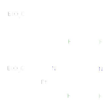 CCOC(=O)C1CCC(N(CC)c2c(F)c(F)nc(F)c2F)C(C(=O)OCC)C1